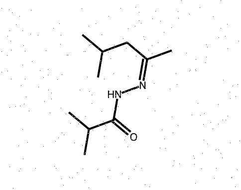 CC(CC(C)C)=NNC(=O)C(C)C